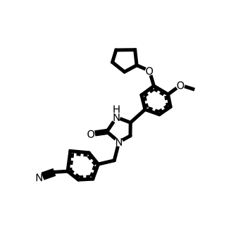 COc1ccc(C2CN(Cc3ccc(C#N)cc3)C(=O)N2)cc1OC1CCCC1